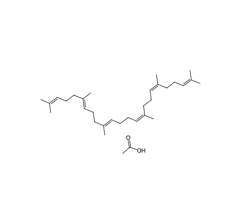 CC(=O)O.CC(C)=CCCC(C)=CCCC(C)=CCCC=C(C)CCC=C(C)CCC=C(C)C